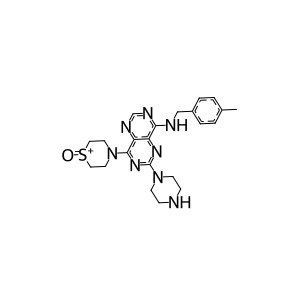 Cc1ccc(CNc2ncnc3c(N4CC[S+]([O-])CC4)nc(N4CCNCC4)nc23)cc1